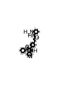 Nc1ccccc1NC(=O)C=Cc1ccc(C(Nc2cccnc2)C(=O)NC2CCCCC2)cc1